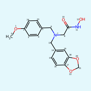 COc1ccc(CN(CC(=O)NO)Cc2ccc3c(c2)OCO3)cc1